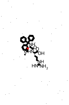 CSCC[C@H](NC(c1ccccc1)(c1ccccc1)c1ccccc1)C(=O)N[C@@H](CCCNC(=N)N)C(=O)O